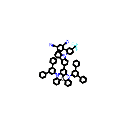 N#Cc1ccc(-c2cc(C(F)(F)F)ccc2-n2c3ccccc3c3cc(-c4cc5c6c(c4)N(c4cc(-c7ccccc7)cc(-c7ccccc7)c4)c4ccccc4B6c4ccccc4N5c4cc(-c5ccccc5)cc(-c5ccccc5)c4)ccc32)c(C#N)c1